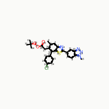 Cc1cc2nc(-c3ccc4c(c3)nnn4C)sc2c(-c2ccc(Cl)cc2)c1CC(=O)OOC(C)(C)C